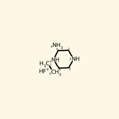 C1CNCCN1.CC.F.N